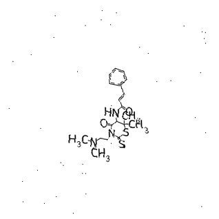 CN(C)CCN1C(=O)C(NC(=O)/C=C/c2ccccc2)C(C)(C)SC1=S